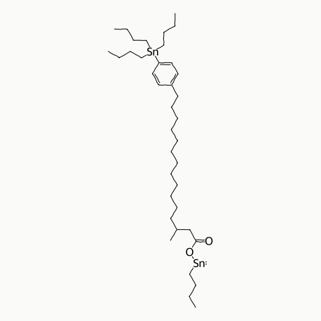 CCC[CH2][Sn][O]C(=O)CC(C)CCCCCCCCCCCCc1cc[c]([Sn]([CH2]CCC)([CH2]CCC)[CH2]CCC)cc1